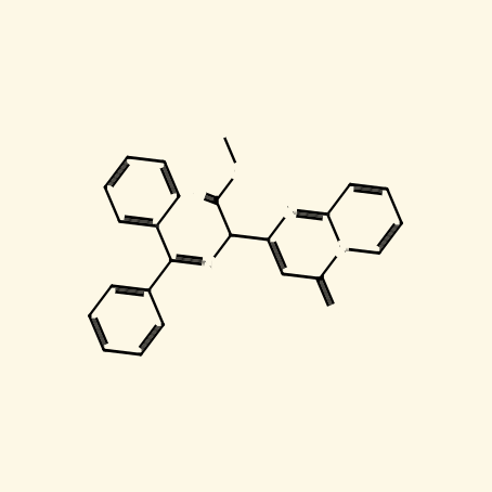 COC(=O)C(N=C(c1ccccc1)c1ccccc1)c1cc(=O)n2ccccc2n1